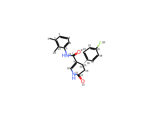 Cc1cccc(NC(=O)C2=CNC(=O)C[C@H]2c2ccc(F)cc2)c1C